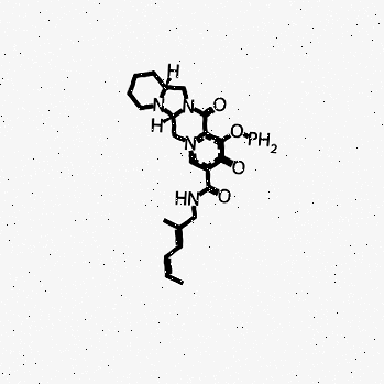 C/C=C\C=C(/C)CNC(=O)c1cn2c(c(OP)c1=O)C(=O)N1C[C@H]3CCCCN3[C@H]1C2